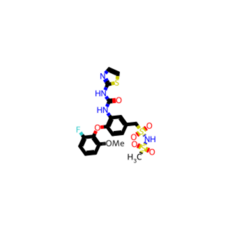 COc1cccc(F)c1Oc1ccc(CS(=O)(=O)NS(C)(=O)=O)cc1NC(=O)Nc1nccs1